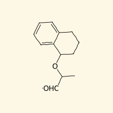 CC([C]=O)OC1CCCc2ccccc21